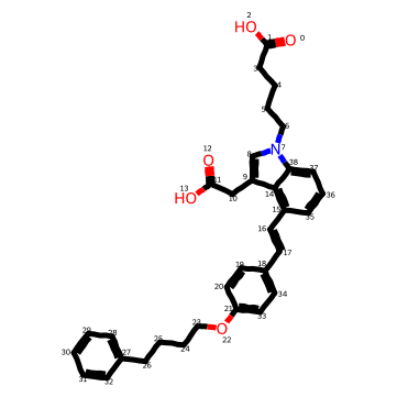 O=C(O)CCCCn1cc(CC(=O)O)c2c(C=Cc3ccc(OCCCCc4ccccc4)cc3)cccc21